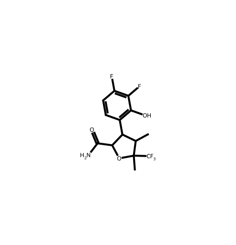 CC1C(c2ccc(F)c(F)c2O)C(C(N)=O)OC1(C)C(F)(F)F